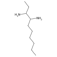 CCCCCCC(N)C(N)CC